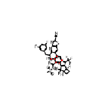 Cn1nc(NS(C)(=O)=O)c2cccc(-c3cc4sc(C#N)nc4nc3C(Cc3cc(F)cc(F)c3)NC(=O)Cn3nc(C(F)(F)F)c4c3C(F)(F)[C@@H]3CC[C@H]43)c21